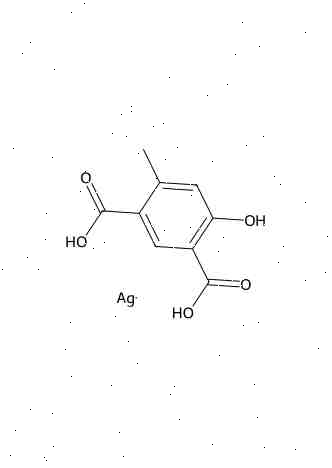 Cc1cc(O)c(C(=O)O)cc1C(=O)O.[Ag]